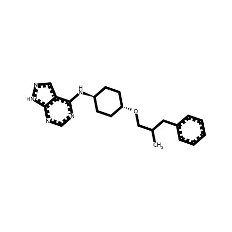 CC(CO[C@H]1CC[C@H](Nc2ncnc3[nH]ncc23)CC1)Cc1ccccc1